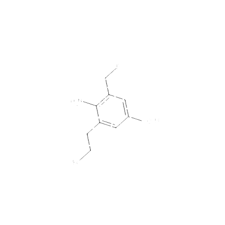 Nc1c(CF)cc(C(=O)O)cc1CCBr